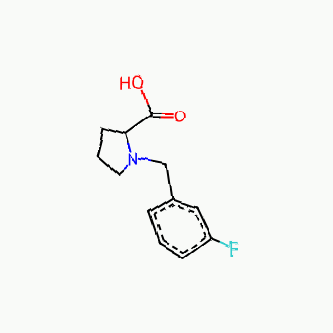 O=C(O)C1CCCN1Cc1cccc(F)c1